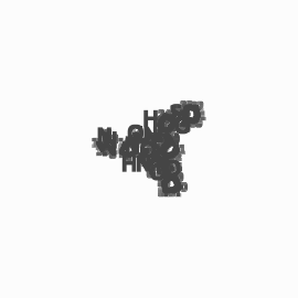 C[C@@H](NC(=O)[C@@H]1C[C@H](Cn2ccnn2)CN1C(=O)CNC(=O)c1ccc2c(c1)Oc1ccccc1S2)c1cc2cnccc2n1S(=O)(=O)c1ccccc1